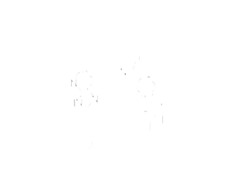 O=C(c1ccc(OC(F)(F)F)cc1)N1CCC(c2ccnc3[nH]c(C4CCCOCC4)nc23)CC1